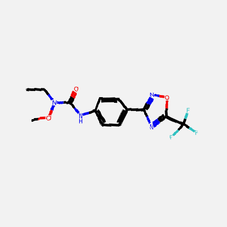 CCN(OC)C(=O)Nc1ccc(-c2noc(C(F)(F)F)n2)cc1